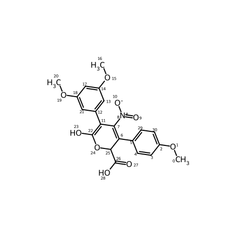 COc1ccc(C2=C([N+](=O)[O-])C(c3cc(OC)cc(OC)c3)=C(O)OC2C(=O)O)cc1